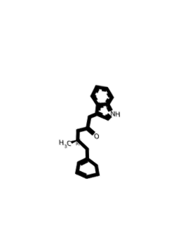 C[C@@H](CC(=O)Cc1c[nH]c2ccccc12)CC1=CC=CCC1